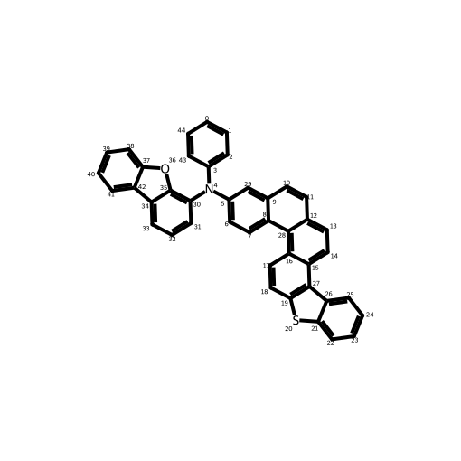 c1ccc(N(c2ccc3c(ccc4ccc5c(ccc6sc7ccccc7c65)c43)c2)c2cccc3c2oc2ccccc23)cc1